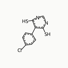 Sc1ncnc(S)c1-c1ccc(Cl)cc1